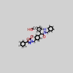 O=C(NCc1ccccc1)C(c1ccc(Cn2nc(-c3ccccc3)oc2=O)cc1)C1CCCC1.O=C(O)O